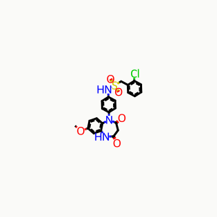 COc1ccc2c(c1)NC(=O)CC(=O)N2c1ccc(NS(=O)(=O)Cc2ccccc2Cl)cc1